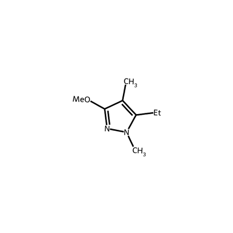 CCc1c(C)c(OC)nn1C